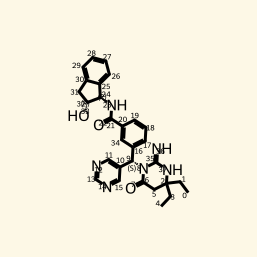 CCC1(CC)CC(=O)N([C@H](c2cncnc2)c2cccc(C(=O)N[C@@H]3c4ccccc4C[C@H]3O)c2)C(=N)N1